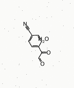 N#Cc1ccc(C(=O)C=O)cc1.O